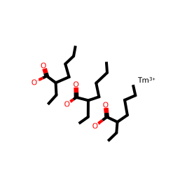 CCCCC(CC)C(=O)[O-].CCCCC(CC)C(=O)[O-].CCCCC(CC)C(=O)[O-].[Tm+3]